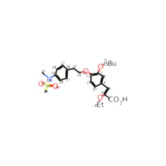 CCCCOc1cc(C=C(OCC)C(=O)O)ccc1OCCc1ccc(N(C)S(C)(=O)=O)cc1